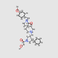 COCC(=O)N1CC(CN2CCC3(CC2)CCN(Cc2ccc(OC)cc2)C3=O)C(c2ccccc2)C1